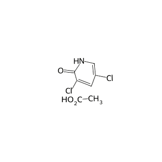 CC(=O)O.O=c1[nH]cc(Cl)cc1Cl